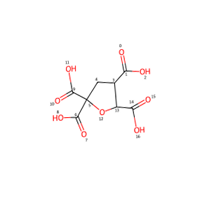 O=C(O)C1CC(C(=O)O)(C(=O)O)OC1C(=O)O